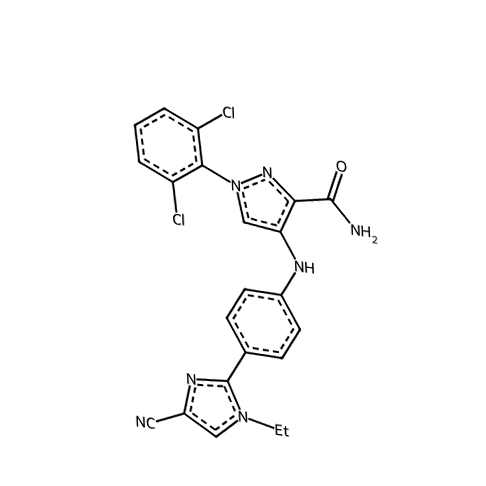 CCn1cc(C#N)nc1-c1ccc(Nc2cn(-c3c(Cl)cccc3Cl)nc2C(N)=O)cc1